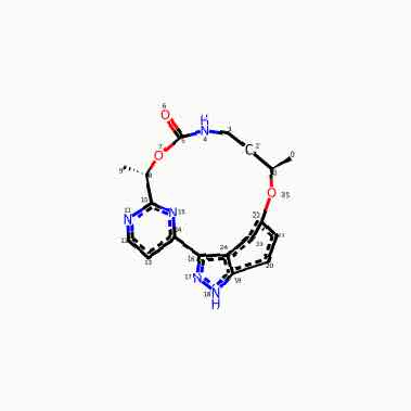 C[C@@H]1CCNC(=O)O[C@@H](C)c2nccc(n2)-c2n[nH]c3ccc(cc23)O1